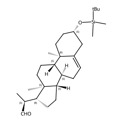 C[C@H](C=O)[C@H]1CC[C@H]2[C@@H]3CC=C4C[C@@H](O[Si](C)(C)C(C)(C)C)CC[C@]4(C)[C@H]3CC[C@]12C